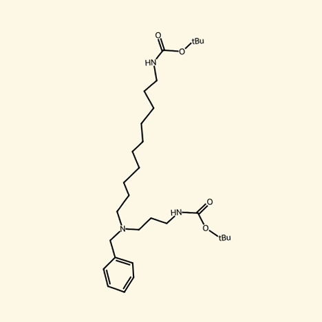 CC(C)(C)OC(=O)NCCCCCCCCCCN(CCCNC(=O)OC(C)(C)C)Cc1ccccc1